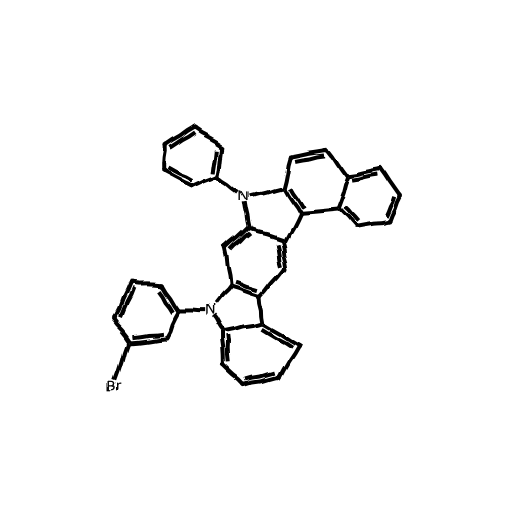 Brc1cccc(-n2c3ccccc3c3cc4c5c6ccccc6ccc5n(-c5ccccc5)c4cc32)c1